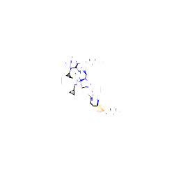 CNS(=O)(=O)c1ccc(CNc2nc3cnc(-c4c(OC)ncnc4C4CC4)nc3n(C(C)C3CC3)c2=O)nc1